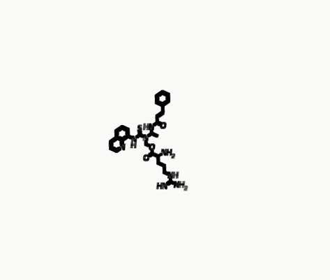 CC(NC(=O)/C=C/c1ccccc1)N(COC(=O)[C@@H](N)CCCNC(=N)N)C(=S)Nc1cccc2cccnc12